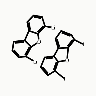 Ic1cccc2c1oc1c(I)cccc12.[Li][c]1cccc2c1oc1[c]([Li])cccc12